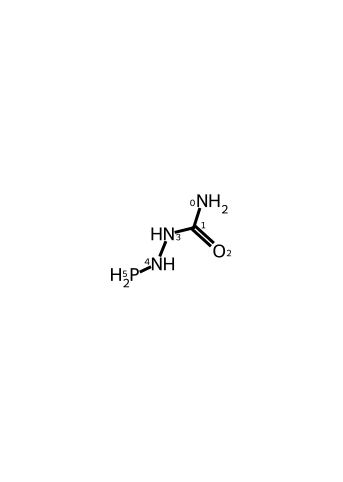 NC(=O)NNP